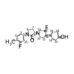 Cc1ccc(N2CCC(N3CC[C@H](c4ccc(O)cc4)[C@@H](F)C3)C2=O)cc1F